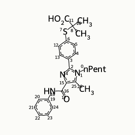 CCCCCn1c(-c2ccc(SC(C)(C)C(=O)O)cc2)nc(C(=O)Nc2ccccc2)c1C